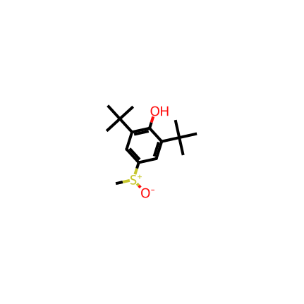 C[S+]([O-])c1cc(C(C)(C)C)c(O)c(C(C)(C)C)c1